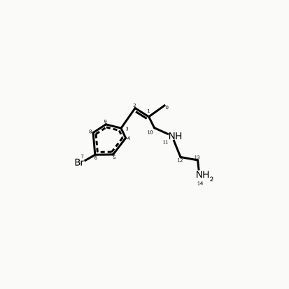 CC(=Cc1ccc(Br)cc1)CNCCN